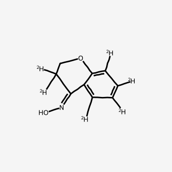 [2H]c1c([2H])c([2H])c2c(c1[2H])OCC([2H])([2H])/C2=N\O